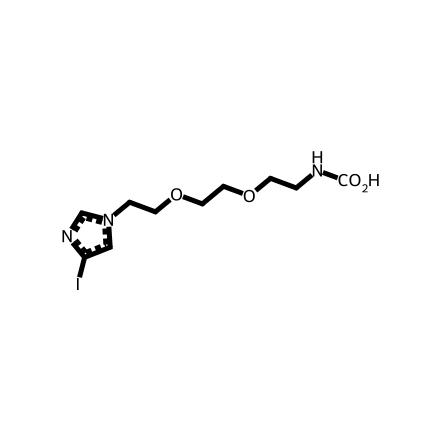 O=C(O)NCCOCCOCCn1cnc(I)c1